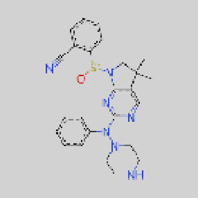 CC1(C)CN([S+]([O-])c2ccccc2C#N)c2nc(N(c3ccccc3)N3CCNCC3)ncc21